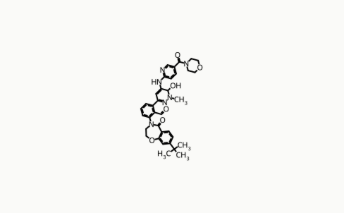 CN1N=C(c2cccc(N3CCOc4cc(C(C)(C)C)ccc4C3=O)c2C=O)C=C(Nc2ccc(C(=O)N3CCOCC3)cn2)C1O